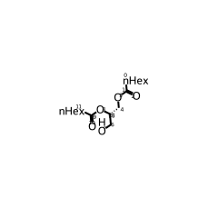 CCCCCCC(=O)OC[C@H](CO)OC(=O)CCCCCC